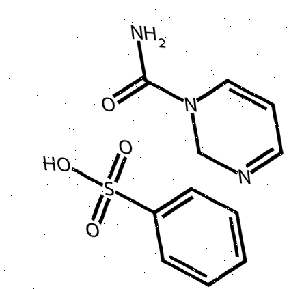 NC(=O)N1C=CC=NC1.O=S(=O)(O)c1ccccc1